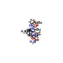 CC(C)(C)[C@H](NC(=O)NC1(CS(=O)(=O)C(C)(C)C)CCCCC1)C(=O)N1C[C@H]2[C@H](CCC2(C)C)[C@H]1C(=O)NC(CC1CCC1)C(=O)C(N)=O